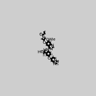 C=CC(=O)N1CC(Oc2cc3c(Nc4ccc(Oc5ccn6ncnc6c5)cc4C(C)(C)O)ncnc3cc2OC)C1